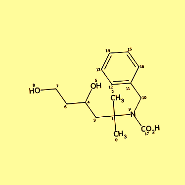 CC(C)(CC(O)CCO)N(Cc1ccccc1)C(=O)O